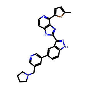 Cc1ccc(-c2nccc3[nH]c(-c4n[nH]c5ccc(-c6cncc(CN7CCCC7)c6)cc45)nc23)s1